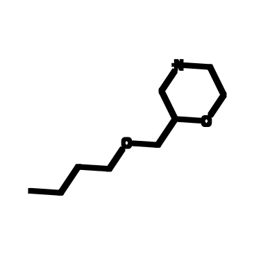 CCCCOCC1C[N]CCO1